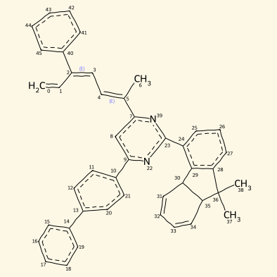 C=C/C(=C\C=C(/C)c1cc(-c2ccc(-c3ccccc3)cc2)nc(-c2cccc3c2C2C=CC=CC2C3(C)C)n1)c1ccccc1